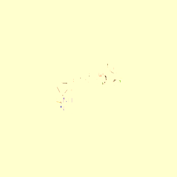 NC(=S)Nc1cccc(OCCCCCOc2c(Cl)cc(F)cc2Cl)c1